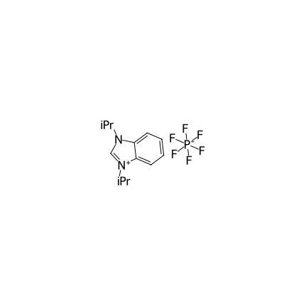 CC(C)n1c[n+](C(C)C)c2ccccc21.F[P-](F)(F)(F)(F)F